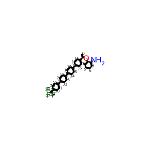 C=C(Oc1ccccc1N)c1ccc(-c2ccc(-c3ccc(-c4ccc(C(F)(F)F)cc4)cc3)cc2)cc1